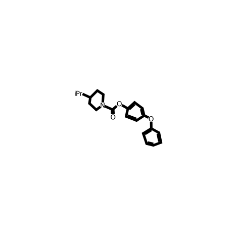 CC(C)C1CCN(C(=O)Oc2ccc(Oc3ccccc3)cc2)CC1